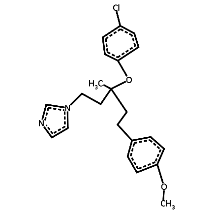 COc1ccc(CCC(C)(CCn2ccnc2)Oc2ccc(Cl)cc2)cc1